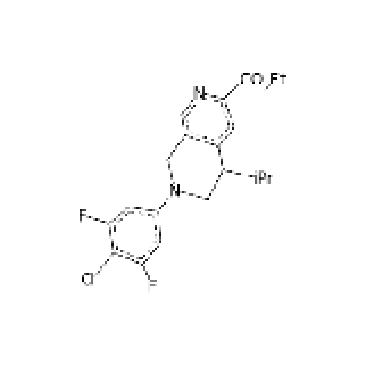 CCOC(=O)c1cc2c(cn1)CN(c1cc(F)c(Cl)c(F)c1)CC2C(C)C